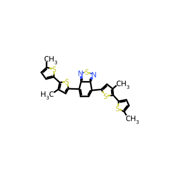 Cc1ccc(-c2sc(-c3ccc(-c4cc(C)c(-c5ccc(C)s5)s4)c4nsnc34)cc2C)s1